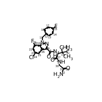 CC(C)(C)C(NC(=O)c1nn(Cc2ccc(F)cc2)c2c(F)cc(Cl)cc12)C(=O)NCC(N)=O